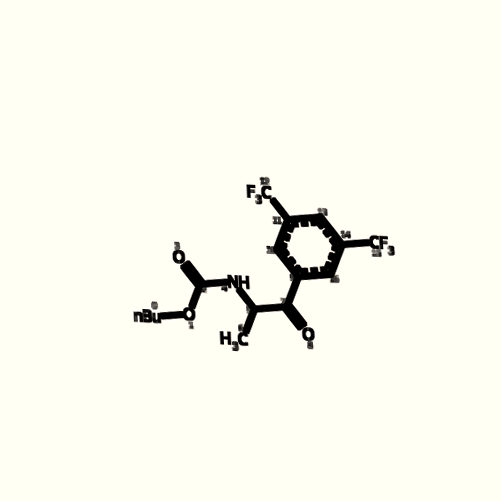 CCCCOC(=O)NC(C)C(=O)c1cc(C(F)(F)F)cc(C(F)(F)F)c1